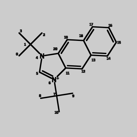 CC(C)(C)n1c[n+](C(C)(C)C)c2cc3ccccc3cc21